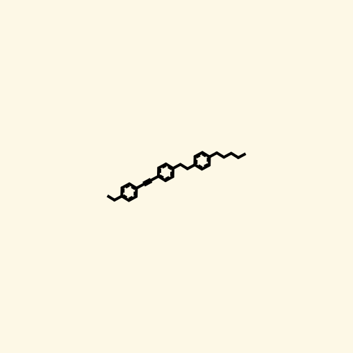 CCCCCc1ccc(CCc2ccc(C#Cc3ccc(CC)cc3)cc2)cc1